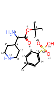 CC(C)(C)OC(=O)C(N)C1CCNCC1.Cc1ccc(S(=O)(=O)O)cc1